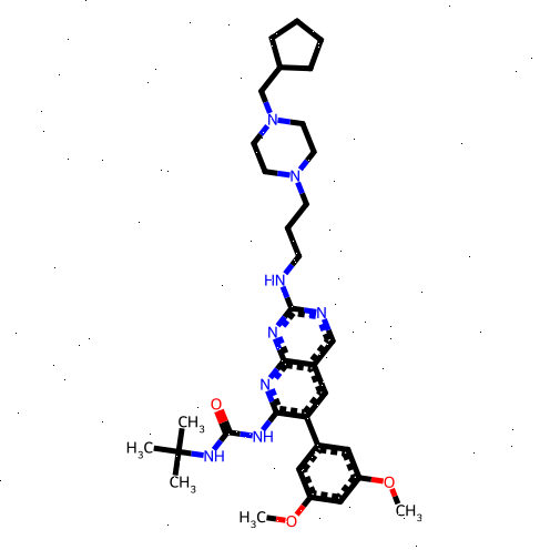 COc1cc(OC)cc(-c2cc3cnc(NCCCN4CCN(CC5CCCC5)CC4)nc3nc2NC(=O)NC(C)(C)C)c1